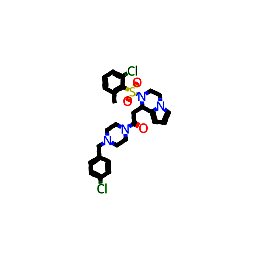 Cc1cccc(Cl)c1S(=O)(=O)N1CCn2cccc2C1CC(=O)N1CCN(Cc2ccc(Cl)cc2)CC1